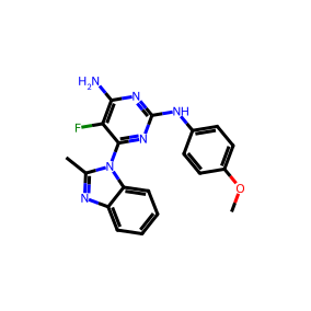 COc1ccc(Nc2nc(N)c(F)c(-n3c(C)nc4ccccc43)n2)cc1